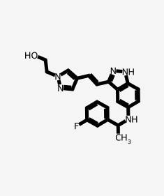 CC(Nc1ccc2[nH]nc(C=Cc3cnn(CCO)c3)c2c1)c1cccc(F)c1